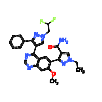 CCn1cc(C(N)=O)c(-c2cc3c(-c4cn(CC(F)F)nc4-c4ccccc4)ncnc3cc2OC)n1